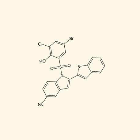 N#Cc1ccc2c(c1)cc(-c1cc3ccccc3s1)n2S(=O)(=O)c1cc(Br)cc(Cl)c1O